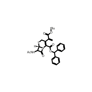 C=C(C(=O)OC(C)(C)C)C1=C(C(=O)OC(c2ccccc2)c2ccccc2)N2C(=O)C(NC(C)=O)[C@@H]2SC1